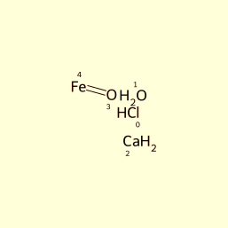 Cl.O.[CaH2].[O]=[Fe]